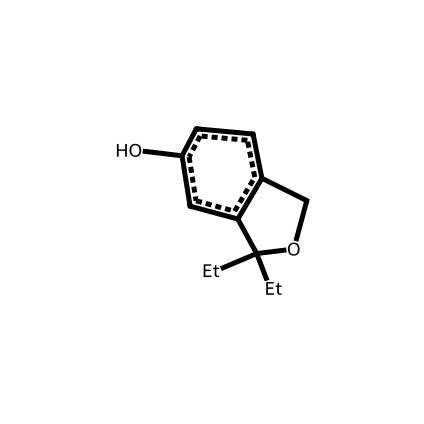 CCC1(CC)OCc2ccc(O)cc21